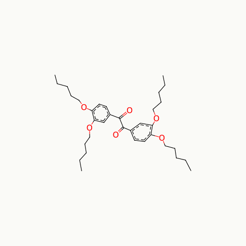 CCCCCOc1ccc(C(=O)C(=O)c2ccc(OCCCCC)c(OCCCCC)c2)cc1OCCCCC